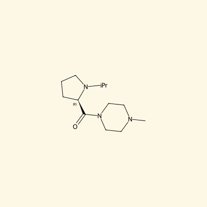 CC(C)N1CCC[C@@H]1C(=O)N1CCN(C)CC1